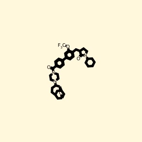 O=C(c1ccc(-c2ccc(CC3CCN(C4CCCCC4)C3=O)c(OC(F)(F)F)c2)cc1)N1CCN(C2CCC3CC4CC(C3)C2C4)CC1